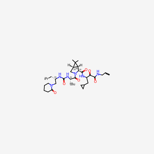 C=CCNC(=O)C(=O)C(CC1CC1)NC(=O)[C@@H]1[C@@H]2[C@H](CN1C(=O)[C@@H](NC(=O)N[C@@H](CC(C)C)CN1CCCCC1=O)C(C)(C)C)C2(C)C